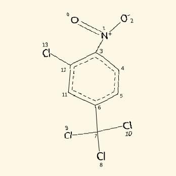 O=[N+]([O-])c1ccc(C(Cl)(Cl)Cl)cc1Cl